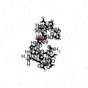 CC[C@H](C)[C@H](NC(=O)[C@@H](NC(=O)[C@@H](NC(=O)[C@@H](N)CCCNC(=N)N)C(C)C)C(C)C)C(=O)N[C@@H](CCC(N)=O)C(=O)N1CCC[C@H]1C(=O)N[C@@H](CO)C(=O)N1CCC[C@H]1C(=O)N[C@H](C(=O)N[C@H](C(=O)N[C@H](C(=O)N[C@H](C(=O)N[C@@H](CC(C)C)C(=O)N1CCC[C@H]1C(=O)NCC(=O)N1CCC[C@H]1C(=O)O)[C@@H](C)O)C(C)C)C(C)C)C(C)C